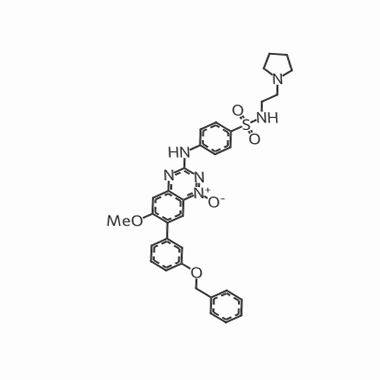 COc1cc2nc(Nc3ccc(S(=O)(=O)NCCN4CCCC4)cc3)n[n+]([O-])c2cc1-c1cccc(OCc2ccccc2)c1